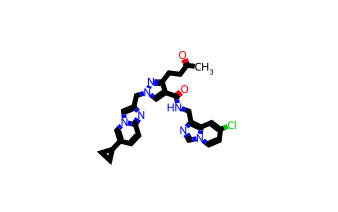 CC(=O)CCc1nn(Cc2cn3cc(C4CC4)ccc3n2)cc1C(=O)NCc1ncn2ccc(Cl)cc12